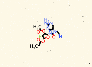 CCC(=O)O[C@H]1O[C@@H](n2c(=O)n(CC#N)c3cnc(N)nc32)[C@H](OC(C)=O)[C@H]1F